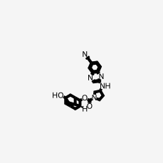 N#Cc1ccc2nc(NC3CCN(C(=O)OC4C5CC6C[C@@H]4CC(O)(C6)C5)C3)cnc2c1